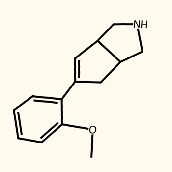 COc1ccccc1C1=CC2CNCC2C1